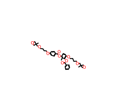 Cc1c(OC(=O)c2ccc(OCCCCOCC3(C)COC3)cc2)ccc(OCCCCOCC2(C)COC2)c1OC(=O)c1ccccc1